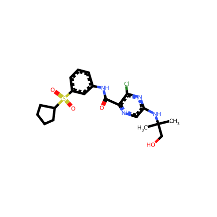 CC(C)(CO)Nc1cnc(C(=O)Nc2cccc(S(=O)(=O)C3CCCC3)c2)c(Cl)n1